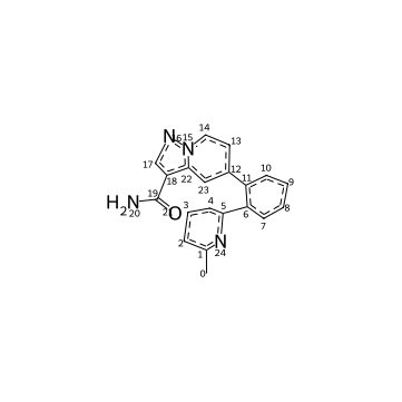 Cc1cccc(-c2ccccc2-c2ccn3ncc(C(N)=O)c3c2)n1